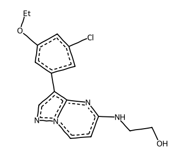 CCOc1cc(Cl)cc(-c2cnn3ccc(NCCO)nc23)c1